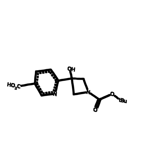 CC(C)(C)OC(=O)N1CC(O)(c2ccc(C(=O)O)cn2)C1